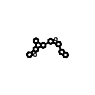 c1ccc2cc(-c3ccc4oc5ccc(-c6ccc7c(c6)c6ccccc6c6cc8c(cc76)oc6ccccc68)cc5c4c3)ccc2c1